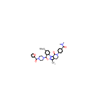 COc1ccc(-n2nc(C(F)(F)F)c3c2C(=O)N(c2ccc(C(=O)N(C)C)cc2)CC3)c(C(=O)N2CCN(C(=O)c3ccco3)CC2)c1